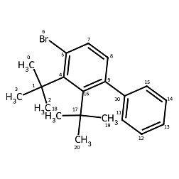 CC(C)(C)c1c(Br)ccc(-c2ccccc2)c1C(C)(C)C